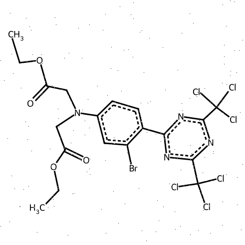 CCOC(=O)CN(CC(=O)OCC)c1ccc(-c2nc(C(Cl)(Cl)Cl)nc(C(Cl)(Cl)Cl)n2)c(Br)c1